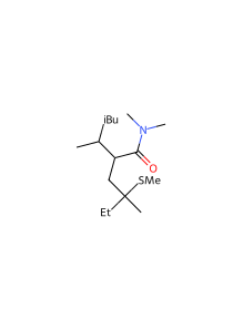 CCC(C)C(C)C(CC(C)(CC)SC)C(=O)N(C)C